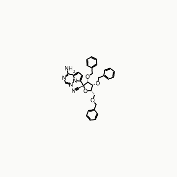 N#C[C@]1(c2ccc3c(N)ncnn23)O[C@@H](COCc2ccccc2)[C@@H](OCc2ccccc2)[C@H]1OCc1ccccc1